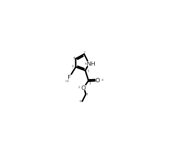 CCOC(=O)c1[nH]ccc1F